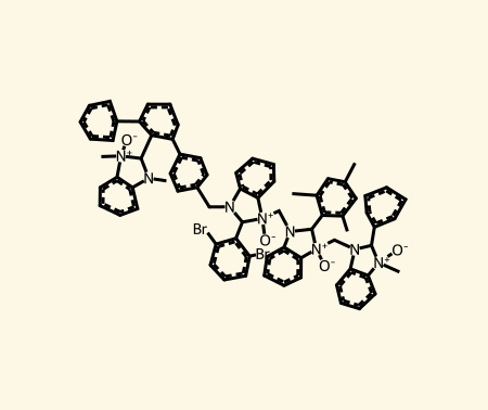 Cc1cc(C)c(C2N(C[N+]3([O-])c4ccccc4N(Cc4ccc(-c5cccc(-c6ccccc6)c5C5N(C)c6ccccc6[N+]5(C)[O-])cc4)C3c3c(Br)cccc3Br)c3ccccc3[N+]2([O-])CN2c3ccccc3[N+](C)([O-])C2c2ccccc2)c(C)c1